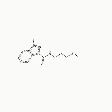 COCCCNC(=O)c1nn(C)c2ccccc12